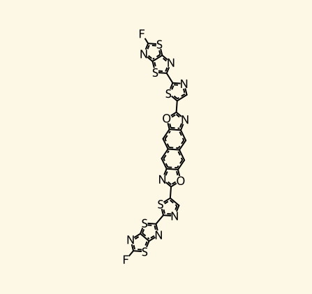 Fc1nc2sc(-c3ncc(-c4nc5cc6cc7oc(-c8cnc(-c9nc%10sc(F)nc%10s9)s8)nc7cc6cc5o4)s3)nc2s1